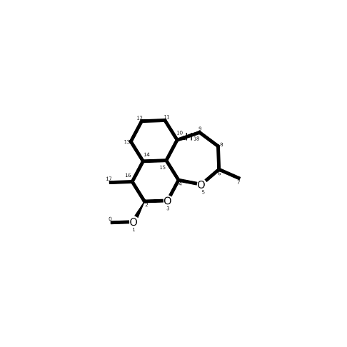 CO[C@@H]1OC2OC(C)CC[C@H]3CCCC(C23)C1C